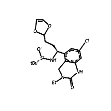 CCN1Cc2c(cc(Cl)cc2[C@H](CCC2OC=CO2)N[S@@+]([O-])C(C)(C)C)NC1=O